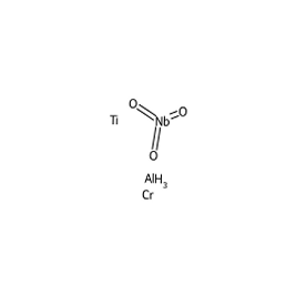 [AlH3].[Cr].[O]=[Nb](=[O])=[O].[Ti]